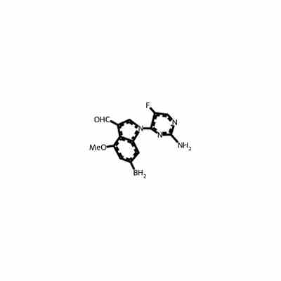 Bc1cc(OC)c2c(C=O)cn(-c3nc(N)ncc3F)c2c1